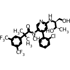 C[C@H](O)[C@H](CO)Nc1cc(-c2ccccc2Cl)c(N(C)C(=O)C(C)(C)c2cc(C(F)(F)F)cc(C(F)(F)F)c2)cn1